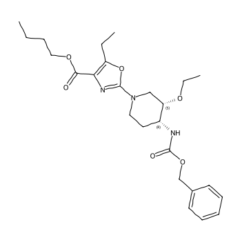 CCCCOC(=O)c1nc(N2CC[C@@H](NC(=O)OCc3ccccc3)[C@@H](OCC)C2)oc1CC